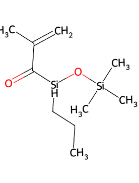 C=C(C)C(=O)[SiH](CCC)O[Si](C)(C)C